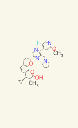 COc1cc(-c2ncc([C@H]3CCc4ccc([C@H](C5CC5)[C@H](C)C(=O)O)cc4O3)nc2CN2CCCC2)c(F)cn1